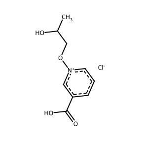 CC(O)CO[n+]1cccc(C(=O)O)c1.[Cl-]